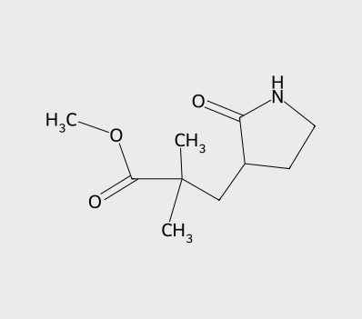 COC(=O)C(C)(C)CC1CCNC1=O